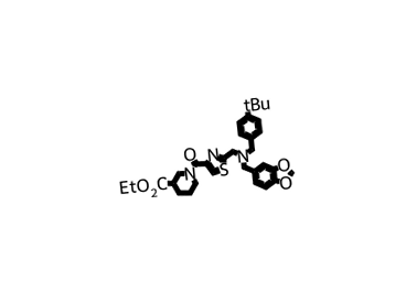 CCOC(=O)C1CCCN(C(=O)c2csc(CN(Cc3ccc(C(C)(C)C)cc3)Cc3ccc4c(c3)OCO4)n2)C1